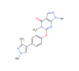 Cc1nn(C(C)(C)C)cc1-c1ccc(Oc2nc3c(cnn3C(C)C)c(=O)n2C)cc1